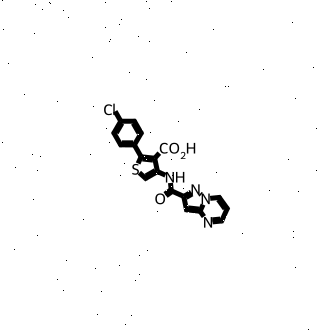 O=C(Nc1csc(-c2ccc(Cl)cc2)c1C(=O)O)c1cc2ncccn2n1